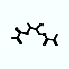 C=C(C)C(=O)OCC(O)C(C)OC(=O)C(=C)C